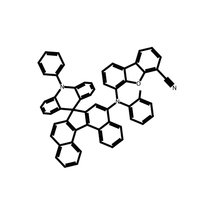 Cc1ccccc1N(c1cc2c(c3ccccc13)-c1c(ccc3ccccc13)C21c2ccccc2N(c2ccccc2)c2ccccc21)c1cccc2c1oc1c(C#N)cccc12